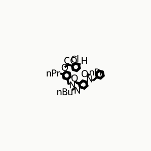 CCCCc1nc2ccc(N(Cc3ccccc3)C(=O)CCC)cc2c(=O)n1Cc1ccc(OC(C(=O)O)c2ccccc2Cl)c(CCC)c1